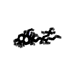 CCCCC(OCOC)[C@@](C)(CCC(C)(C)CCC)CCC(C)(C)[C@]1(C)CC[C@H]2C(C)(C)C(=O)CC[C@]2(C)/C1=C/C(C)=O